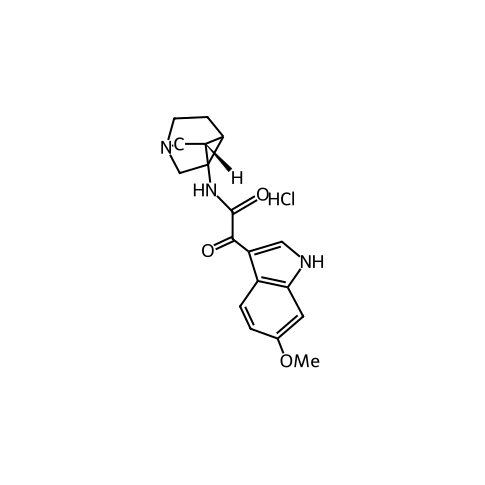 COc1ccc2c(C(=O)C(=O)N[C@@H]3CN4CCC3CC4)c[nH]c2c1.Cl